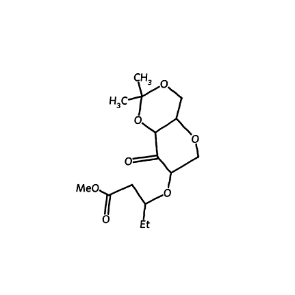 CCC(CC(=O)OC)OC1COC2COC(C)(C)OC2C1=O